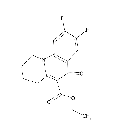 CCOC(=O)c1c2n(c3cc(F)c(F)cc3c1=O)CCCC2